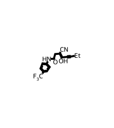 CCC#CC(O)=C(C#N)CC(=O)Nc1ccc(C(F)(F)F)cc1